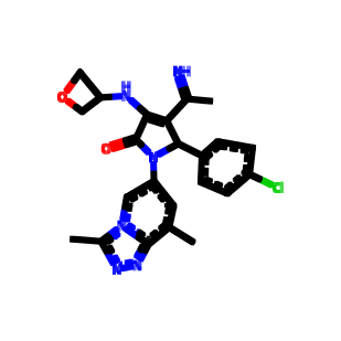 CC(=N)C1=C(NC2COC2)C(=O)N(c2cc(C)c3nnc(C)n3c2)C1c1ccc(Cl)cc1